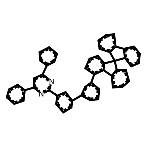 c1ccc(-c2cc(-c3ccccc3)nc(-c3cccc(-c4cccc(-c5cccc6c5-c5ccccc5C65c6ccccc6-c6ccccc65)c4)c3)n2)cc1